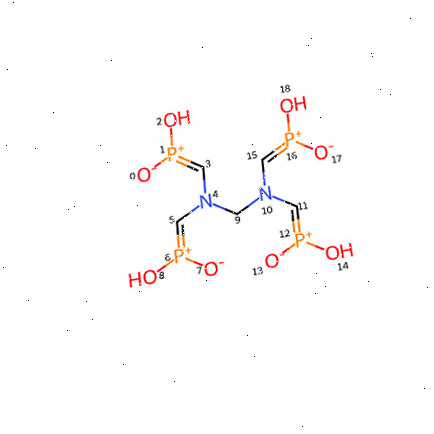 [O-]/[P+](O)=C\N(/C=[P+](\[O-])O)CN(/C=[P+](\[O-])O)/C=[P+](\[O-])O